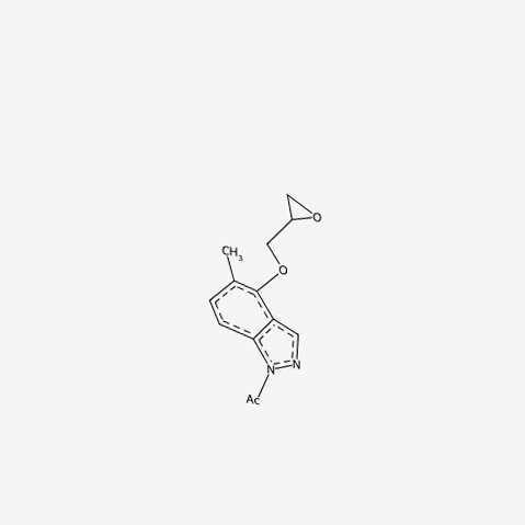 CC(=O)n1ncc2c(OCC3CO3)c(C)ccc21